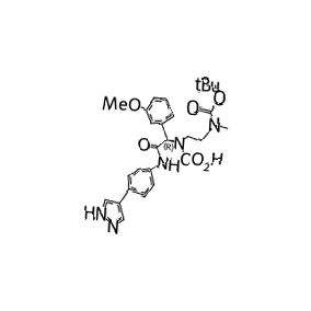 COc1cccc([C@H](C(=O)Nc2ccc(-c3cn[nH]c3)cc2)N(CCN(C)C(=O)OC(C)(C)C)C(=O)O)c1